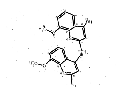 COc1cccc2c(Br)cc(C)nc12.COc1cccc2c(O)cc(C)nc12